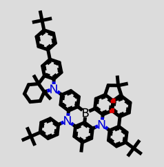 Cc1cc2c3c(c1)N(c1ccc(C(C)(C)C)cc1-c1ccccc1)c1cc4c(cc1B3c1ccc(N3c5ccc(-c6ccc(C(C)(C)C)cc6)cc5C5(C)CCCCC35C)cc1N2c1ccc(C(C)(C)C)cc1)CC(C)(C)C4